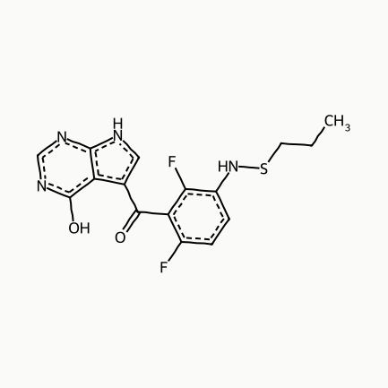 CCCSNc1ccc(F)c(C(=O)c2c[nH]c3ncnc(O)c23)c1F